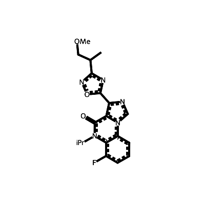 COCC(C)c1noc(-c2ncn3c2c(=O)n(C(C)C)c2c(F)cccc23)n1